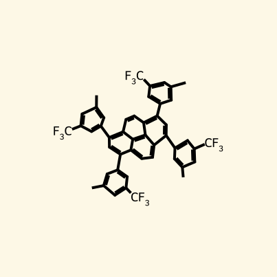 Cc1cc(-c2cc(-c3cc(C)cc(C(F)(F)F)c3)c3ccc4c(-c5cc(C)cc(C(F)(F)F)c5)cc(-c5cc(C)cc(C(F)(F)F)c5)c5ccc2c3c54)cc(C(F)(F)F)c1